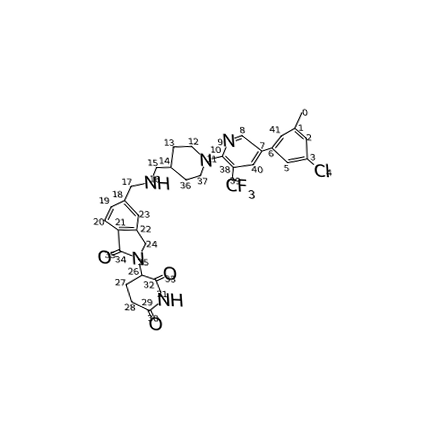 Cc1cc(Cl)cc(-c2cnc(N3CCC(CNCc4ccc5c(c4)CN(C4CCC(=O)NC4=O)C5=O)CC3)c(C(F)(F)F)c2)c1